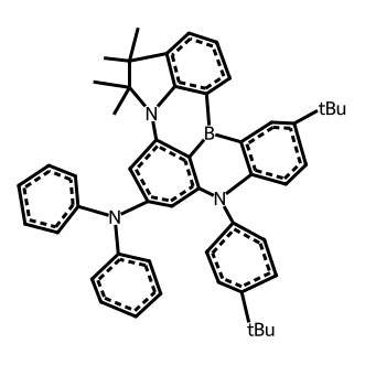 CC(C)(C)c1ccc(N2c3ccc(C(C)(C)C)cc3B3c4cccc5c4N(c4cc(N(c6ccccc6)c6ccccc6)cc2c43)C(C)(C)C5(C)C)cc1